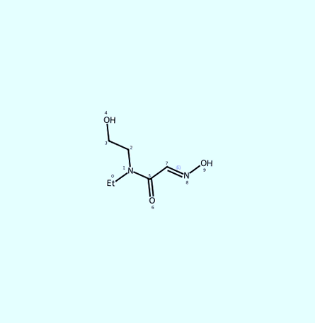 CCN(CCO)C(=O)/C=N/O